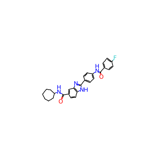 O=C(Nc1ccc(-c2nc3cc(C(=O)NC4CCCCCC4)ccc3[nH]2)cc1)c1ccc(F)cc1